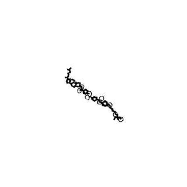 CCC1(COCCCCOc2ccc(OC(=O)c3ccc(C(=O)Oc4ccc(C(=O)OC5CCC6(C)C(=CCC7C6CCC6(C)C(C(C)CCCC(C)C)CCC76)C5)cc4)cc3)cc2)COC1